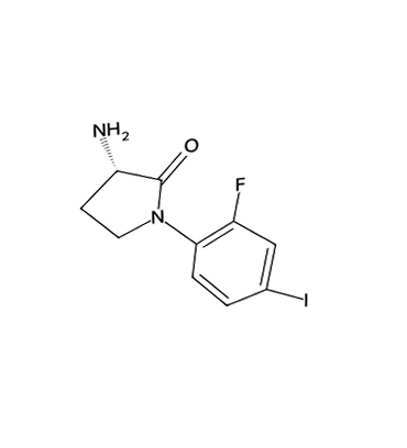 N[C@H]1CCN(c2ccc(I)cc2F)C1=O